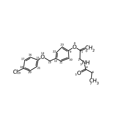 C=C(CNC(=O)CC)Oc1ccc(COc2ccc(Cl)cc2)cc1